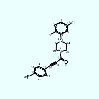 Cc1ccc(Cl)cc1N1CCN(C(=O)C#Cc2ccc(F)cc2)CC1